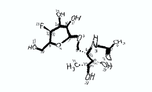 CC(=O)N[C@@H](COC1OC(CO)[C@@H](F)C(O)C1O)[C@H](O)[C@@H](C)O